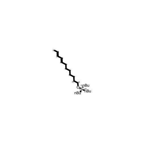 C/C=C/C=C/CCCCCCCO[Si](CCCC)(CCCC)CCCC